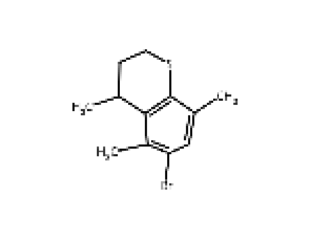 Cc1cc(Br)c(C)c2c1SCCC2C